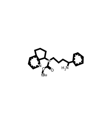 CC(C)(C)OC(=O)N(CCCC(N)c1ccccc1)C1CCCc2cccnc21